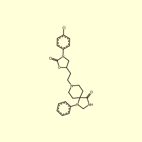 O=C1OC(CCN2CCC3(CC2)C(=O)NCN3c2ccccc2)CN1c1ccc(Cl)cc1